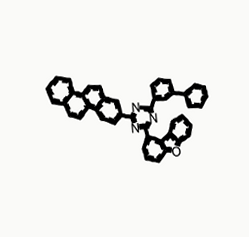 c1ccc(-c2cccc(-c3nc(-c4ccc5c(ccc6c7ccccc7ccc56)c4)nc(-c4cccc5oc6ccccc6c45)n3)c2)cc1